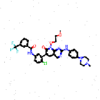 COCCOn1c(=O)c(-c2cc(NC(=O)c3cccc(C(F)(F)F)c3)ccc2Cl)cc2cnc(Nc3ccc(N4CCN(C)CC4)cc3)nc21